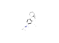 CN(C)/C=N/c1ccc2c(c1C#N)OC[C@H]1CCCCN21